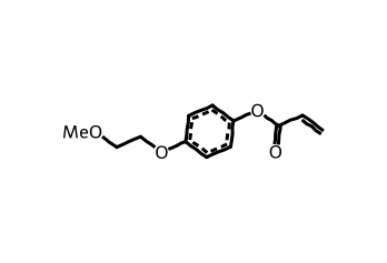 C=CC(=O)Oc1ccc(OCCOC)cc1